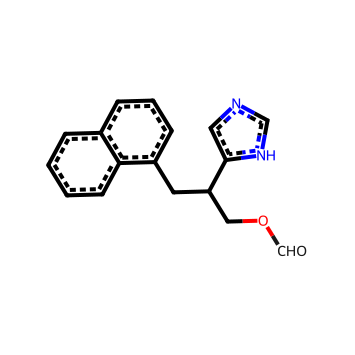 O=COCC(Cc1cccc2ccccc12)c1cnc[nH]1